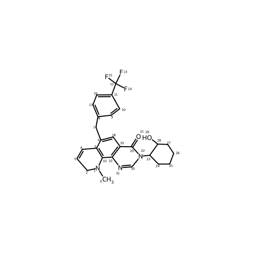 CN1CC=Cc2c(Cc3ccc(C(F)(F)F)cc3)cc3c(=O)n(C4CCCCC4O)cnc3c21